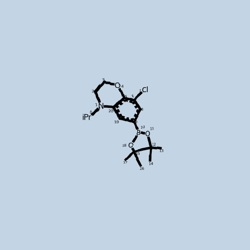 CC(C)N1CCOc2c(Cl)cc(B3OC(C)(C)C(C)(C)O3)cc21